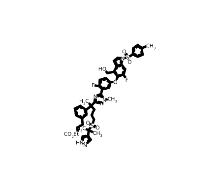 CCOC(=O)CCc1cccc(C(C)(CCCS(=O)(=O)C(C)(C)c2cn[nH]c2)c2nc(-c3cc(Oc4c(F)cc5c(ccn5S(=O)(=O)c5ccc(C)cc5)c4CO)ccc3F)n(C)n2)c1